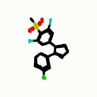 CS(=O)(=O)c1c(F)cc(C2=CCC=C2c2cccc(Cl)c2)cc1F